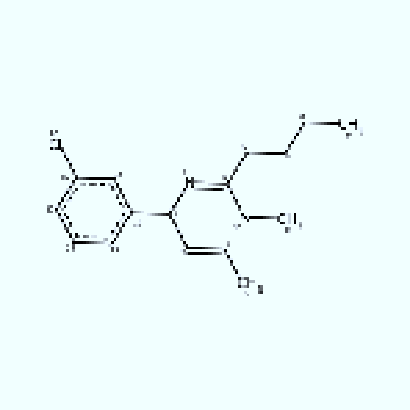 CC=CC(/N=C(/CCCC)SC)c1cccc(Cl)c1